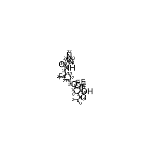 CC(C)C(=O)c1ccc(OCc2ccc(CNC(=O)c3cn(C)cn3)c(F)c2)c(C(F)(F)F)c1O